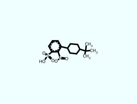 CC(C)(C)C1CCC(c2cccc(S(=O)(=O)O)c2[N+](=O)[O-])CC1